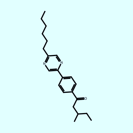 CCCCCCc1cnc(-c2ccc(C(=O)CC(C)CC)cc2)cn1